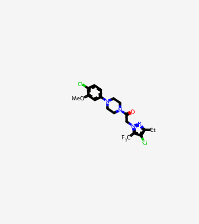 CCc1nn(CC(=O)N2CCN(c3ccc(Cl)c(OC)c3)CC2)c(C(F)(F)F)c1Cl